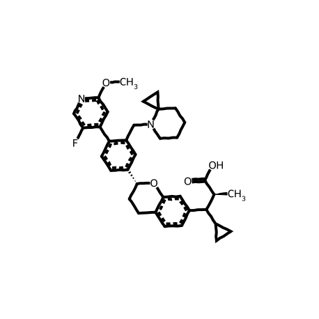 COc1cc(-c2ccc([C@H]3CCc4ccc(C(C5CC5)[C@H](C)C(=O)O)cc4O3)cc2CN2CCCCC23CC3)c(F)cn1